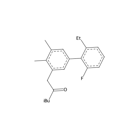 CCc1cccc(F)c1-c1cc(C)c(C)c(CC(=O)C(C)CC)c1